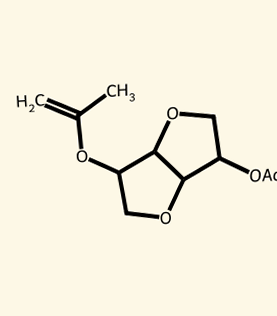 C=C(C)OC1COC2C(OC(C)=O)COC12